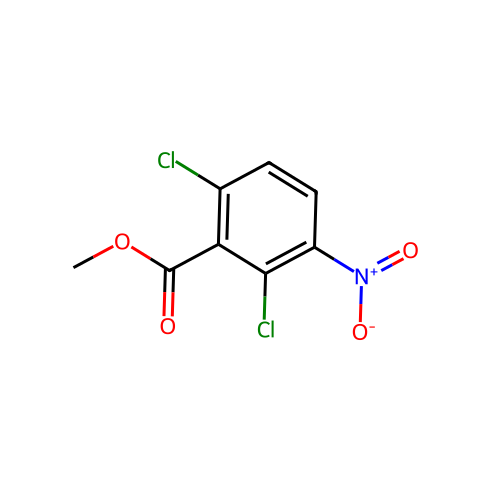 COC(=O)c1c(Cl)ccc([N+](=O)[O-])c1Cl